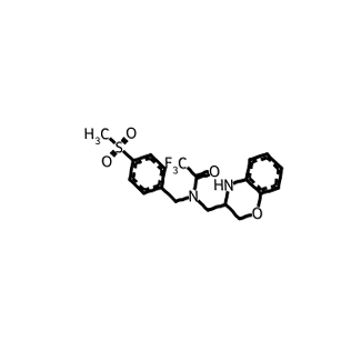 CS(=O)(=O)c1ccc(CN(CC2COc3ccccc3N2)C(=O)C(F)(F)F)cc1